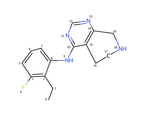 CCc1c(F)cccc1Nc1ncnc2c1CCNC2